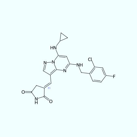 O=C1C/C(=C\c2cnn3c(NC4CC4)cc(NCc4ccc(F)cc4Cl)nc23)C(=O)N1